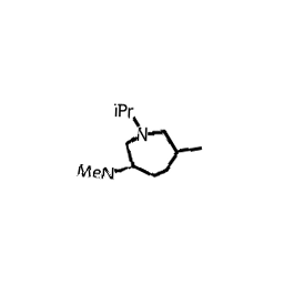 CN[C@@H]1CCC(C)CN(C(C)C)C1